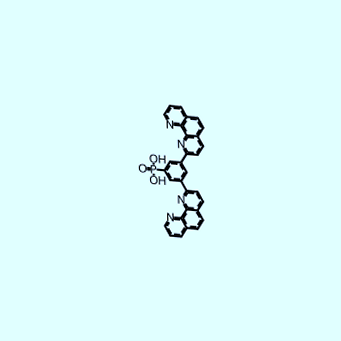 O=P(O)(O)c1cc(-c2ccc3ccc4cccnc4c3n2)cc(-c2ccc3ccc4cccnc4c3n2)c1